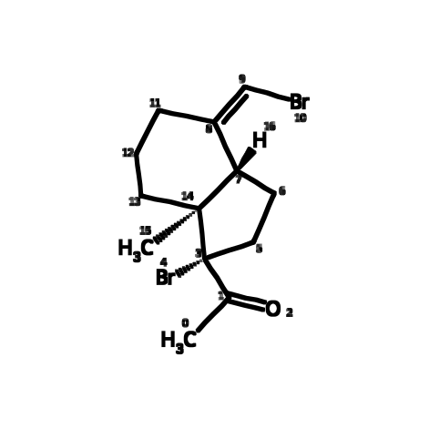 CC(=O)[C@]1(Br)CC[C@H]2/C(=C\Br)CCC[C@@]21C